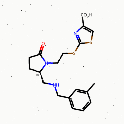 Cc1cccc(CNC[C@H]2CCC(=O)N2CCSc2nc(C(=O)O)cs2)c1